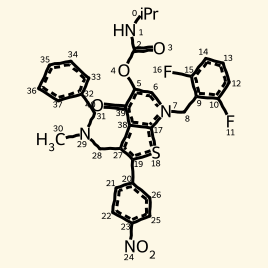 CC(C)NC(=O)Oc1cn(Cc2c(F)cccc2F)c2sc(-c3ccc([N+](=O)[O-])cc3)c(CN(C)Cc3ccccc3)c2c1=O